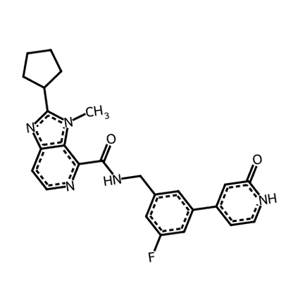 Cn1c(C2CCCC2)nc2ccnc(C(=O)NCc3cc(F)cc(-c4cc[nH]c(=O)c4)c3)c21